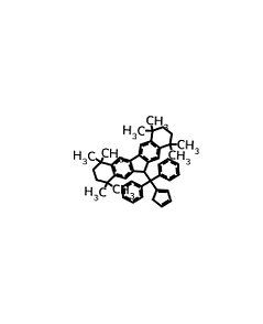 CC1(C)CCC(C)(C)c2cc3c(cc21)-c1cc2c(cc1C3C(C1=CC=CC1)(c1ccccc1)c1ccccc1)C(C)(C)CCC2(C)C